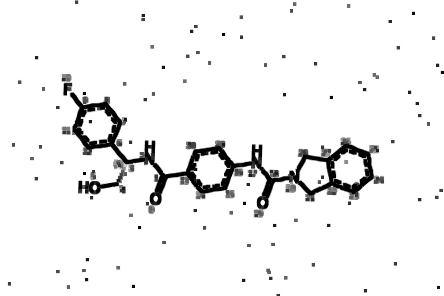 O=C(N[C@H](CO)c1ccc(F)cc1)c1ccc(NC(=O)N2Cc3ccccc3C2)cc1